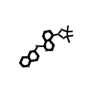 CC1(C)OB(c2cccc3c(Nc4ccc5ncccc5c4)nccc23)OC1(C)C